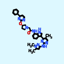 Cc1cnc(Nc2cc(C)n(C)n2)nc1-c1c[nH]c2c(NC(=O)CN3CC[C@H](Oc4nccc(-c5ccccc5)n4)C3)cccc12